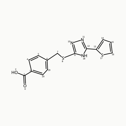 O=C(O)c1ccc(CSc2nnc(-c3cccs3)[nH]2)cc1